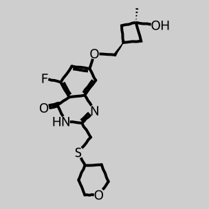 C[C@]1(O)C[C@@H](COc2cc(F)c3c(=O)[nH]c(CSC4CCOCC4)nc3c2)C1